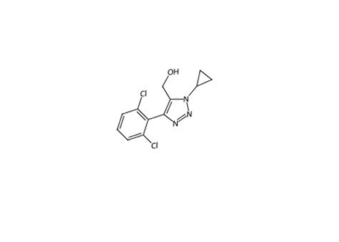 OCc1c(-c2c(Cl)cccc2Cl)nnn1C1CC1